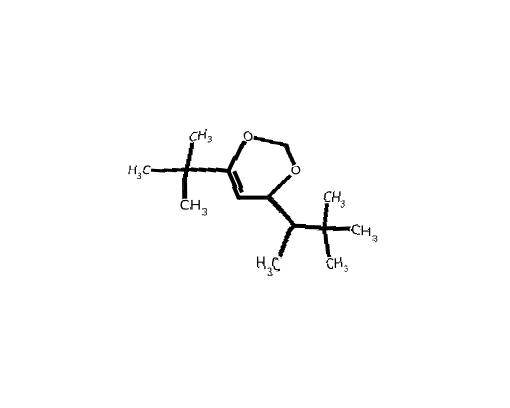 CC(C1C=C(C(C)(C)C)OCO1)C(C)(C)C